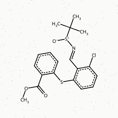 COC(=O)c1ccccc1Sc1cccc(Cl)c1C=N[S+]([O-])C(C)(C)C